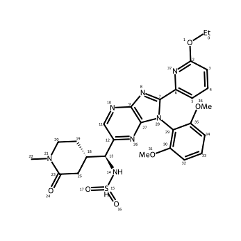 CCOc1cccc(-c2nc3ncc([C@@H](N[SH](=O)=O)[C@H]4CCN(C)C(=O)C4)nc3n2-c2c(OC)cccc2OC)n1